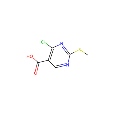 CSc1ncc(C(=O)O)c(Cl)n1